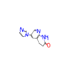 O=C1CCc2cc(-n3ccnc3)cnc2N1